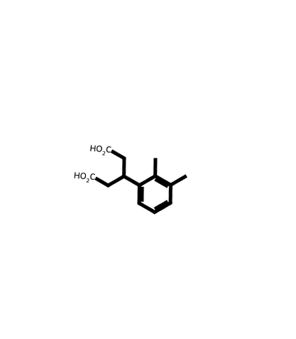 Cc1cccc(C(CC(=O)O)CC(=O)O)c1C